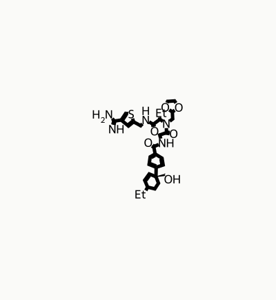 CCC1C=C[C@](CO)(c2ccc(C(=O)NCC(=O)N(CC3OCCO3)C(CC)C(=O)NCc3cc(C(=N)N)cs3)cc2)CC1